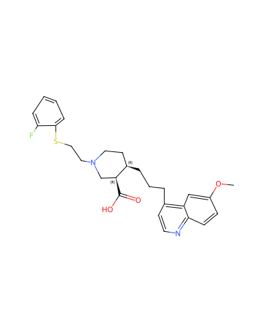 COc1ccc2nccc(CCC[C@@H]3CCN(CCSc4ccccc4F)C[C@@H]3C(=O)O)c2c1